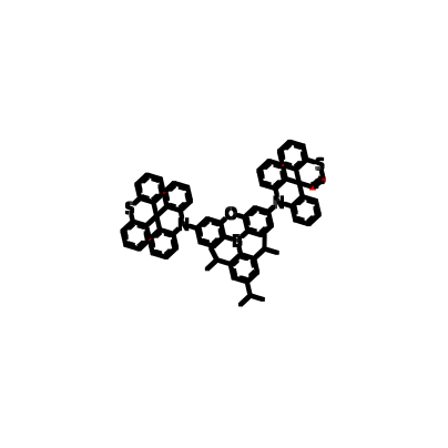 CC(C)c1cc(C(C)C)c(B2c3ccc(N4c5ccccc5C5(c6ccccc6Sc6ccccc65)c5ccccc54)cc3Oc3cc(N4c5ccccc5C5(c6ccccc6Sc6ccccc65)c5ccccc54)ccc32)c(C(C)C)c1